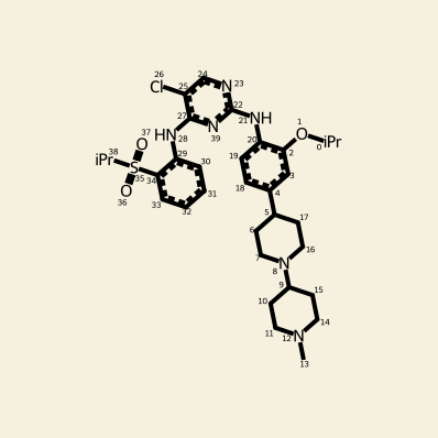 CC(C)Oc1cc(C2CCN(C3CCN(C)CC3)CC2)ccc1Nc1ncc(Cl)c(Nc2ccccc2S(=O)(=O)C(C)C)n1